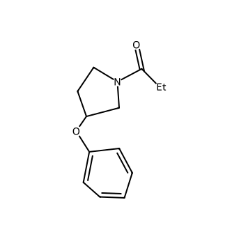 CCC(=O)N1CCC(Oc2ccccc2)C1